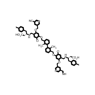 Cc1c(COc2cc(OCc3cncc(C#N)c3)c(CN[C@H](CC(=O)O)Cc3ccc(I)cc3)cc2Cl)cccc1-c1cccc(COc2cc(OCc3cncc(C=N)c3)c(CN[C@H](CC(=O)O)Cc3ccc(I)cc3)cc2Cl)c1C